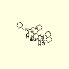 CC[C@H](C)[C@H](NS(=O)(=O)c1cccc2ccccc12)C(=O)C(c1ccccc1)[C@H](N)[C@@H](O)C(=O)NCc1ccccc1